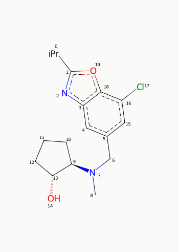 CC(C)c1nc2cc(CN(C)[C@@H]3CCC[C@H]3O)cc(Cl)c2o1